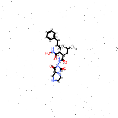 CC(C)C[C@@H](C(=O)NN1C(=O)C2CNCCN2C1=O)[C@H](CCCc1ccccc1)C(=O)NO